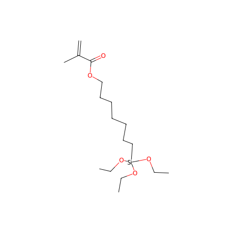 C=C(C)C(=O)OCCCCCCC[Si](OCC)(OCC)OCC